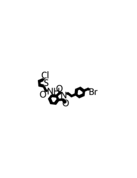 O=C(Nc1cccc2c1C(=O)N(CCc1ccc(CBr)cc1)C2=O)c1ccc(Cl)s1